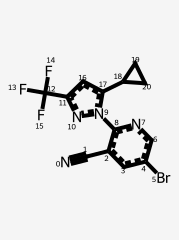 N#Cc1cc(Br)cnc1-n1nc(C(F)(F)F)cc1C1CC1